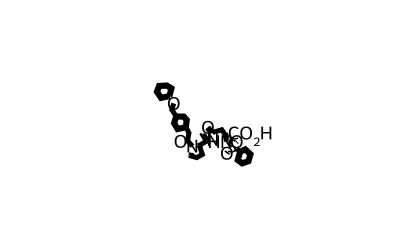 O=C(O)C(Cc1nc(C2CCCN2C(=O)Cc2ccc(COc3ccccc3)cc2)co1)NS(=O)(=O)c1ccccc1